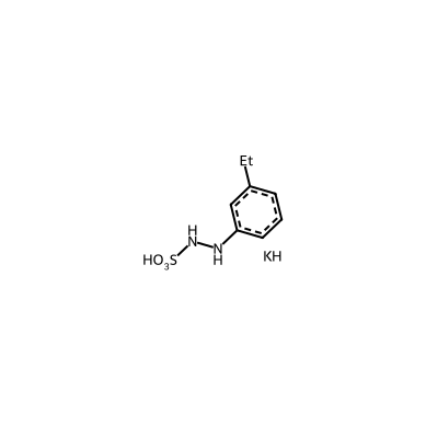 CCc1cccc(NNS(=O)(=O)O)c1.[KH]